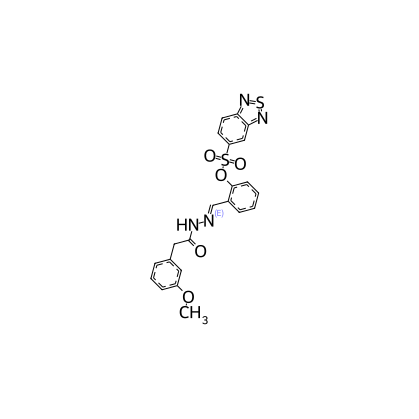 COc1cccc(CC(=O)N/N=C/c2ccccc2OS(=O)(=O)c2ccc3nsnc3c2)c1